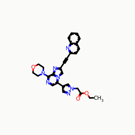 CCOC(=O)Cn1cc(-c2cnc(N3CCOCC3)c3nc(C#Cc4ccc5ccccc5n4)cn23)cn1